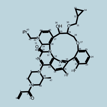 C=CC(=O)N1CCN(c2nc(=O)n3c4nc(c(F)cc24)-c2c(F)cccc2OCC(OCC2CC2)C(O)C2=C3[C@@H](C)N(CC(C)C)C=C2)[C@@H](C)C1